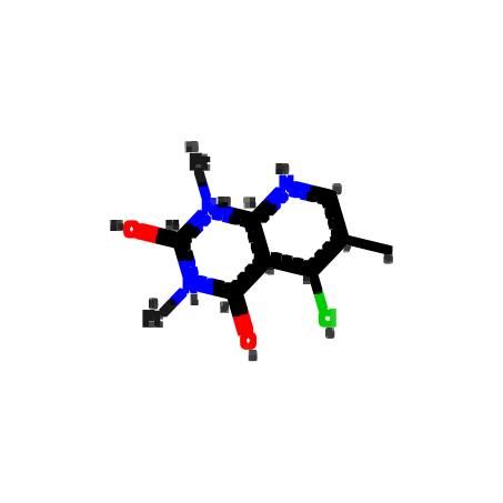 CCn1c(=O)c2c(Cl)c(C)cnc2n(CC)c1=O